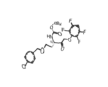 CC(C)(C)OC(=O)N[C@@H](CCOCc1ccc(Cl)cc1)C(=O)COc1c(F)c(F)cc(F)c1F